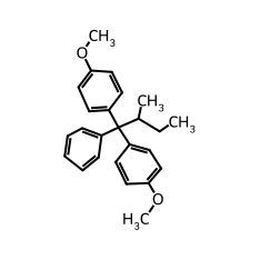 CCC(C)C(c1ccccc1)(c1ccc(OC)cc1)c1ccc(OC)cc1